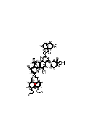 COc1ccc(CN(Cc2ccc(OC)cc2)c2cc(C)c(C(F)(F)F)c(-c3c(Cl)cc4c(N5CCCC(C)(O)C5)nc(OCC56CCCN5C[C@H](F)C6)nc4c3F)n2)cc1